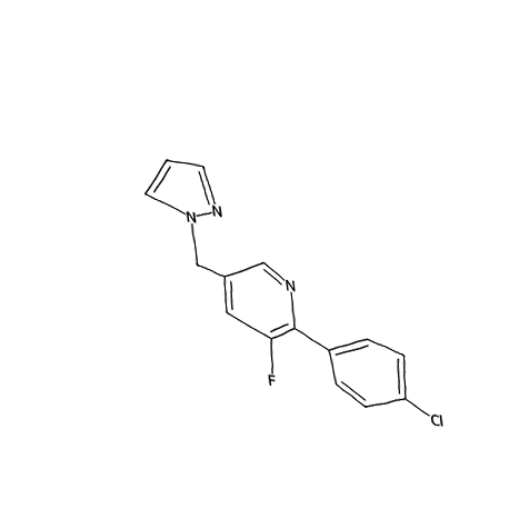 Fc1cc(Cn2cccn2)cnc1-c1ccc(Cl)cc1